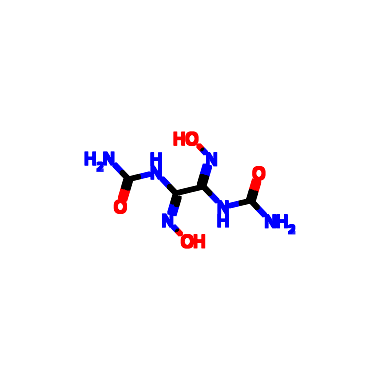 NC(=O)NC(=N/O)/C(=N\O)NC(N)=O